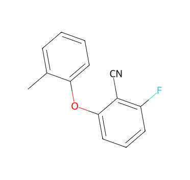 Cc1ccccc1Oc1cccc(F)c1C#N